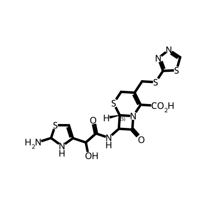 NC1NC(C(O)C(=O)NC2C(=O)N3C(C(=O)O)=C(CSc4nncs4)CS[C@@H]23)=CS1